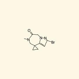 CN1CC2(CC2)c2cc(Br)nn2CC1=O